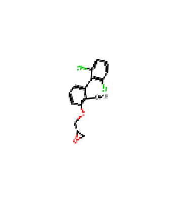 COc1c(OC[C@H]2CO2)cccc1-c1c(Cl)cccc1Cl